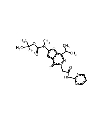 CC(C)c1nn(CC(=O)Nc2ncccn2)c(=O)c2cc(N(C)C(=O)OC(C)(C)C)oc12